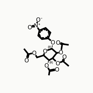 CC(=O)OCC1O[C@H](Oc2ccc([N+](=O)[O-])cc2)C(OC(C)=O)C(OC(C)=O)[C@@H]1OC(C)=O